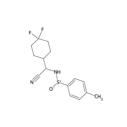 Cc1ccc([S+]([O-])NC(C#N)C2CCC(F)(F)CC2)cc1